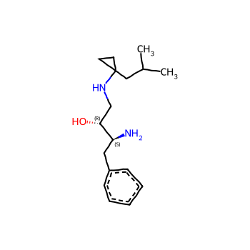 CC(C)CC1(NC[C@@H](O)[C@@H](N)Cc2ccccc2)CC1